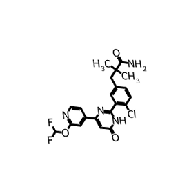 CC(C)(Cc1ccc(Cl)c(-c2nc(-c3ccnc(OC(F)F)c3)cc(=O)[nH]2)c1)C(N)=O